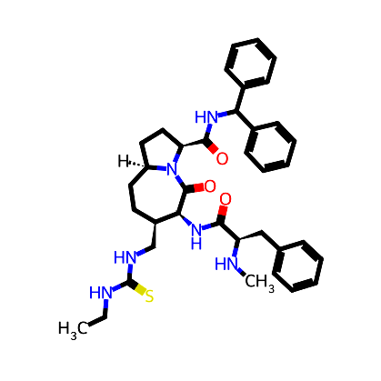 CCNC(=S)NC[C@H]1CC[C@H]2CC[C@@H](C(=O)NC(c3ccccc3)c3ccccc3)N2C(=O)[C@H]1NC(=O)[C@@H](Cc1ccccc1)NC